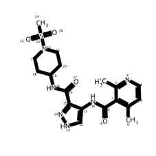 Cc1ccnc(C)c1C(=O)Nc1c[nH]nc1C(=O)NC1CCN(S(C)(=O)=O)CC1